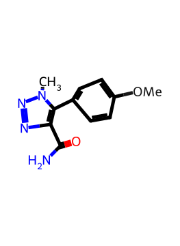 COc1ccc(-c2c(C(N)=O)nnn2C)cc1